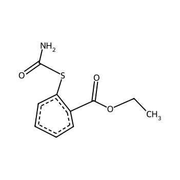 CCOC(=O)c1ccccc1SC(N)=O